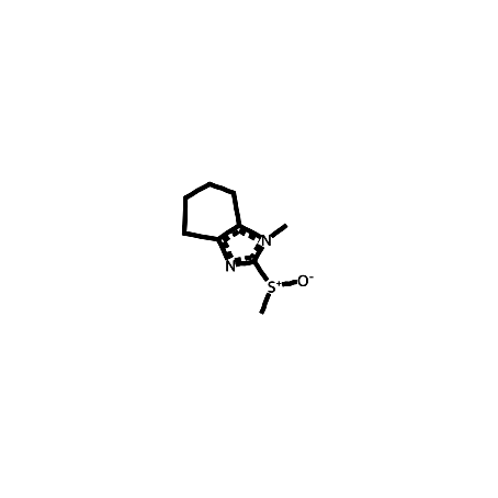 Cn1c([S+](C)[O-])nc2c1CCCC2